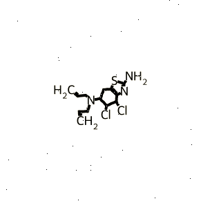 C=CCN(CC=C)C1Cc2sc(N)nc2C(Cl)C1Cl